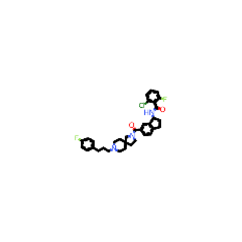 O=C(NC1CCc2ccc(C(=O)N3CCC4(CCN(CCCc5ccc(F)cc5)CC4)C3)cc21)c1c(F)cccc1Cl